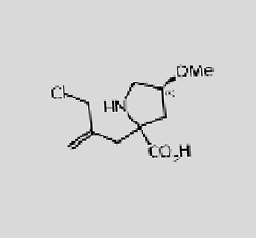 C=C(CCl)CC1(C(=O)O)C[C@H](OC)CN1